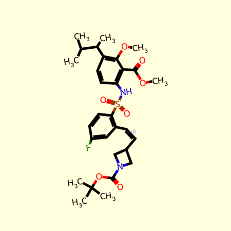 COC(=O)c1c(NS(=O)(=O)c2ccc(F)cc2/C=C\C2CN(C(=O)OC(C)(C)C)C2)ccc(C(C)C(C)C)c1OC